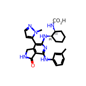 Cc1cccc(Nc2nc(N[C@@H]3CCCC[C@@H]3NC(=O)O)c(-c3ccnn3C)c3c2C(=O)NC3)c1